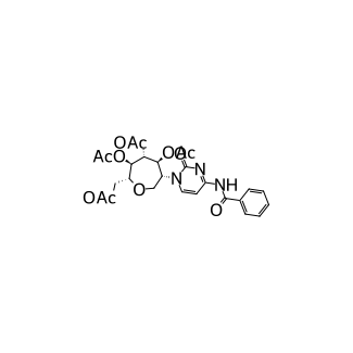 CC(=O)OC[C@H]1OC[C@@H](n2ccc(NC(=O)c3ccccc3)nc2=O)[C@H](OC(C)=O)[C@@H](OC(C)=O)[C@@H]1OC(C)=O